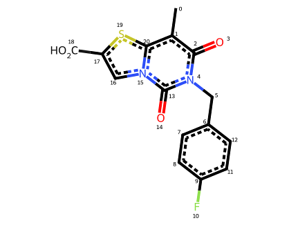 Cc1c(=O)n(Cc2ccc(F)cc2)c(=O)n2cc(C(=O)O)sc12